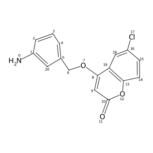 Nc1cccc(COc2cc(=O)oc3ccc(Cl)cc23)c1